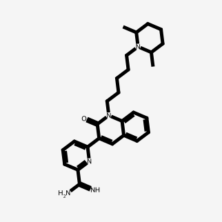 CC1CCCC(C)N1CCCCCn1c(=O)c(-c2cccc(C(=N)N)n2)cc2ccccc21